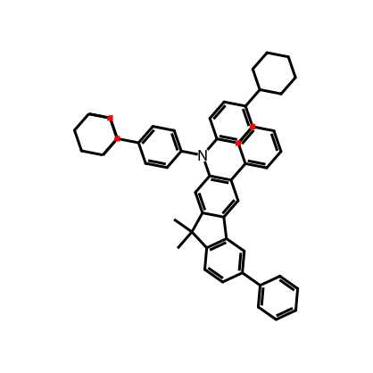 CC1(C)c2ccc(-c3ccccc3)cc2-c2cc(-c3ccccc3)c(N(c3ccc(C4CCCCC4)cc3)c3ccc(C4CC5CCC4CC5)cc3)cc21